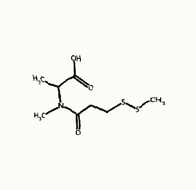 CSSCCC(=O)N(C)C(C)C(=O)O